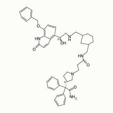 NC(=O)C(c1ccccc1)(c1ccccc1)[C@@H]1CCN(CCC(=O)NCC2CCCC(CNC[C@@H](O)c3ccc(OCc4ccccc4)c4[nH]c(=O)ccc34)C2)C1